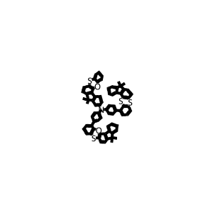 CC1(C)c2cc(N(c3ccc(-c4cccc5c4Oc4c(ccc6c4-c4ccccc4C6(C)C)S5)cc3)c3ccc(-c4cccc5c4Sc4c(ccc6c4-c4ccccc4C6(C)C)S5)cc3)ccc2-c2c1ccc1c2Oc2ccccc2S1